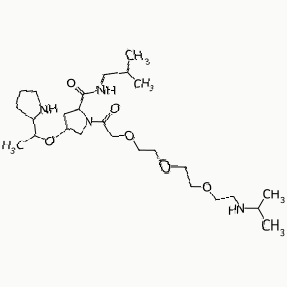 CC(C)CNC(=O)C1CC(OC(C)C2CCCN2)CN1C(=O)COCCOCCOCCNC(C)C